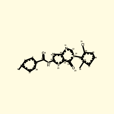 Cc1ccc(C(=O)Nc2nc3ncn(-c4c(C)cccc4Cl)c(=O)c3s2)cc1